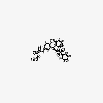 CC(C)(C)OC(=O)NCc1cccc(-c2cn(S(=O)(=O)c3ccccc3)c3nccc(Cl)c23)c1